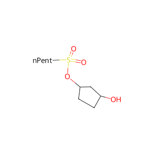 CCCCCS(=O)(=O)OC1CCC(O)C1